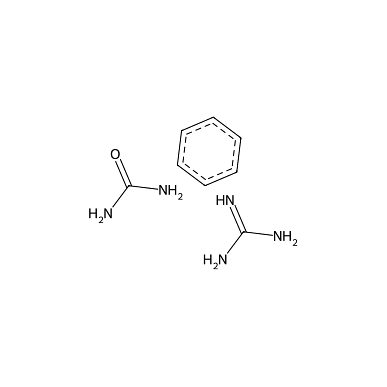 N=C(N)N.NC(N)=O.c1ccccc1